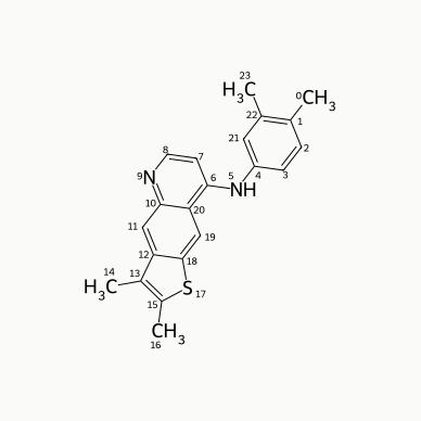 Cc1ccc(Nc2ccnc3cc4c(C)c(C)sc4cc23)cc1C